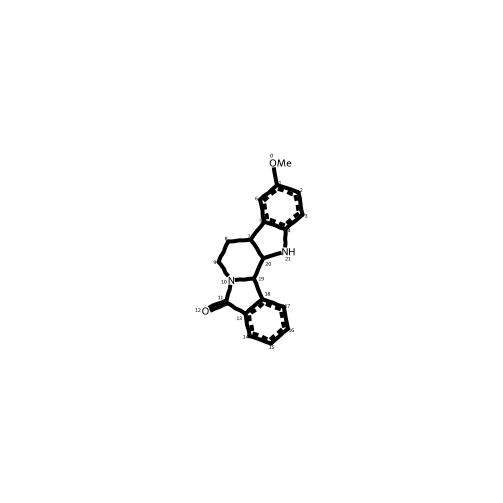 COc1ccc2c(c1)C1CCN3C(=O)c4ccccc4C3C1N2